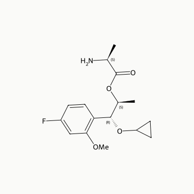 COc1cc(F)ccc1[C@@H](OC1CC1)[C@H](C)OC(=O)[C@H](C)N